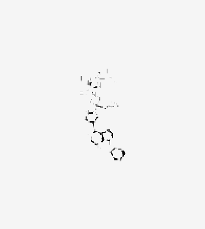 CCS(=O)(=N[Si](C)(C)C(C)(C)C)N1CC(CC#N)(n2cc(-c3ncnc4c3ccn4-c3ccccc3)cn2)C1